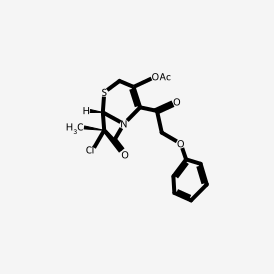 CC(=O)OC1=C(C(=O)COc2ccccc2)N2C(=O)[C@](C)(Cl)[C@@H]2SC1